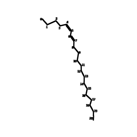 CCCC/C=C\C=C\CCCCCCCCCCCCI